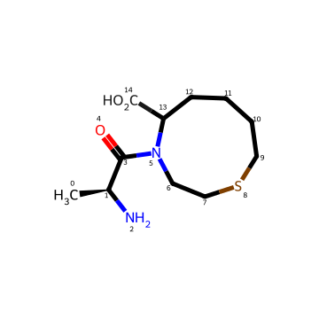 C[C@H](N)C(=O)N1CCSCCCCC1C(=O)O